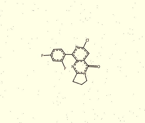 O=c1c2cc(Cl)nc(-c3ccc(F)cc3F)c2nc2n1CCC2